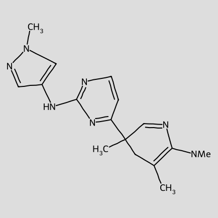 CNC1=C(C)CC(C)(c2ccnc(Nc3cnn(C)c3)n2)C=N1